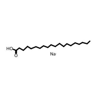 CCCCCCCCCCCCCCCCCCCC(=O)O.[Na]